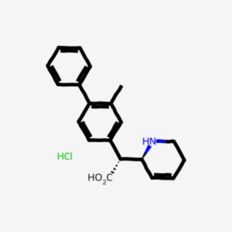 Cc1cc([C@@H](C(=O)O)[C@@H]2C=CCCN2)ccc1-c1ccccc1.Cl